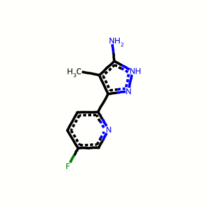 Cc1c(-c2ccc(F)cn2)n[nH]c1N